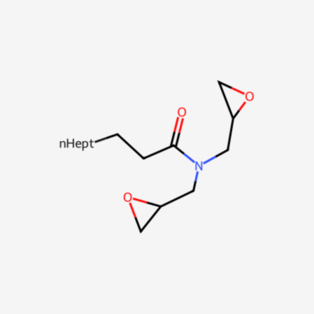 CCCCCCCCCC(=O)N(CC1CO1)CC1CO1